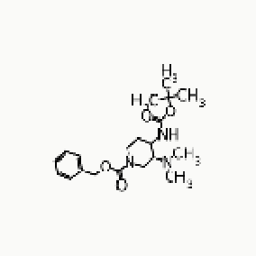 CN(C)[C@H]1CN(C(=O)OCc2ccccc2)CCC1NC(=O)OC(C)(C)C